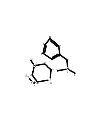 CCO.CN(C)Cc1ccccc1.CN1CCOCC1